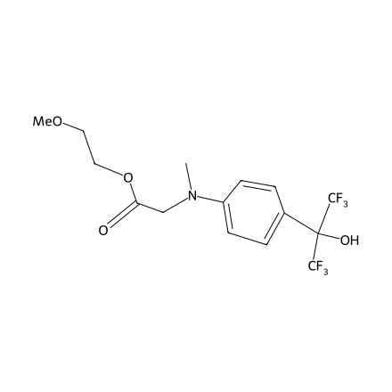 COCCOC(=O)CN(C)c1ccc(C(O)(C(F)(F)F)C(F)(F)F)cc1